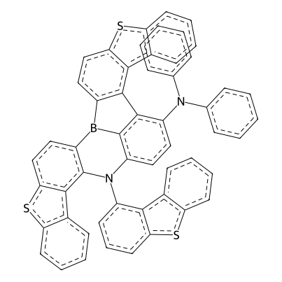 c1ccc(N(c2ccccc2)c2ccc3c4c2-c2c(ccc5sc6ccccc6c25)B4c2ccc4sc5ccccc5c4c2N3c2cccc3sc4ccccc4c23)cc1